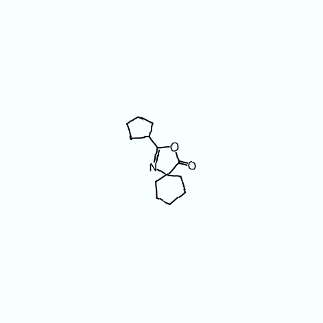 O=C1OC(C2CCCC2)=NC12CCCCC2